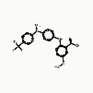 COc1ccc(Nc2ccc(N(C)c3ccc(C(F)(F)F)cn3)cc2)c(C(=O)O)c1